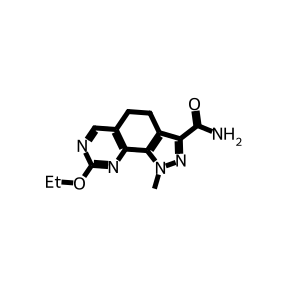 CCOc1ncc2c(n1)-c1c(c(C(N)=O)nn1C)CC2